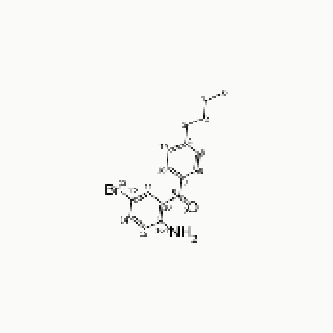 CCCCc1ccc(C(=O)c2cc(Br)ccc2N)cc1